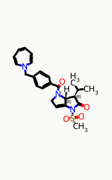 CC(C)[C@H]1C(=O)N(S(C)(=O)=O)C2=CCN(C(=O)c3ccc(CN4C=CC=CC=C4)cc3)[C@@H]21